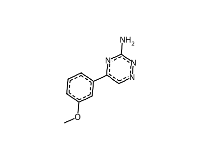 COc1cccc(-c2cnnc(N)n2)c1